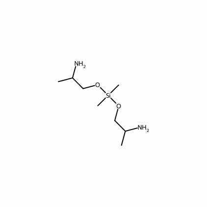 CC(N)CO[Si](C)(C)OCC(C)N